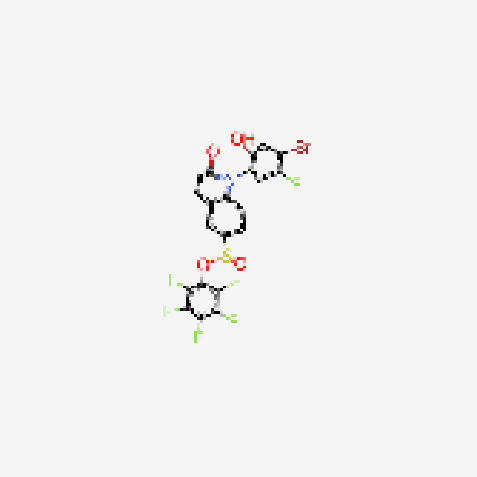 O=c1ccc2cc(S(=O)Oc3c(F)c(F)c(F)c(F)c3F)ccc2n1-c1cc(F)c(Br)cc1O